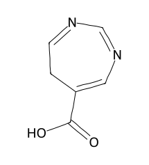 O=C(O)C1=CN=CN=CC1